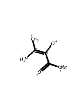 COC(=O)C(Cl)=C(C)N